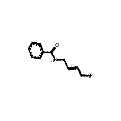 CC(C)C/C=C/CNC(=O)c1ccccc1